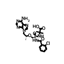 C[C@H](Cn1cnc2c(N)ncnc21)OC[P@](=O)(NC(=O)c1ccccc1Cl)NC(C)(C)C(=O)O